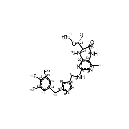 Cc1nc(NCc2cnn(Cc3cc(F)c(F)c(F)c3)c2)nc2c1NC(=O)[C@H]([C@@H](C)OC(C)(C)C)N2C